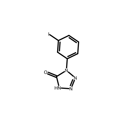 O=c1[nH]nnn1-c1cccc(I)c1